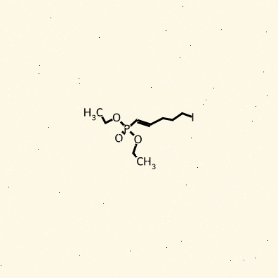 CCOP(=O)(/C=C/CCCI)OCC